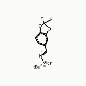 CC(C)(C)[S@@+]([O-])/N=C/c1ccc2c(c1)OC(F)(F)O2